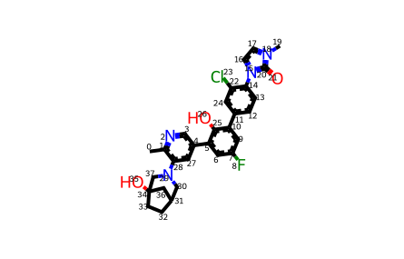 Cc1ncc(-c2cc(F)cc(-c3ccc(-n4ccn(C)c4=O)c(Cl)c3)c2O)cc1N1CC2CCC(O)(C2)C1